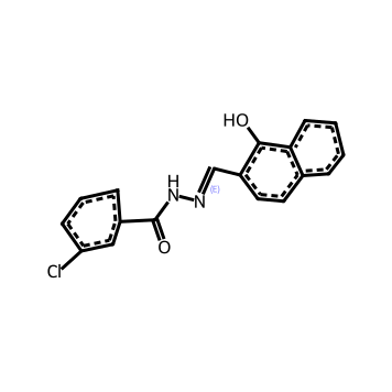 O=C(N/N=C/c1ccc2ccccc2c1O)c1cccc(Cl)c1